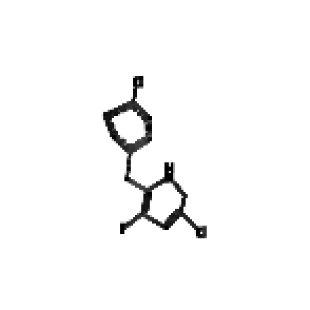 FC1=C(Cc2ccc(Cl)cc2)NCC(Cl)=C1